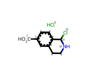 Cl.O=C(O)c1ccc2c(c1)CCNC2Cl